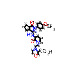 O=C(O)C1COCCN1CCn1cccc(Nc2nn(-c3ccc(OC(F)(F)F)cc3)c(=O)c3c2CCC3)c1=O